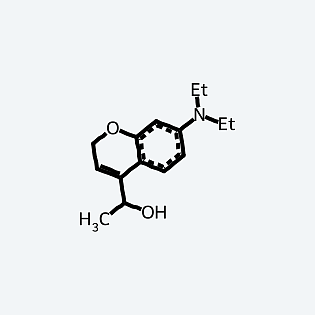 CCN(CC)c1ccc2c(c1)OCC=C2C(C)O